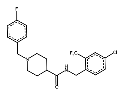 O=C(NCc1ccc(Cl)cc1C(F)(F)F)C1CCN(Cc2ccc(F)cc2)CC1